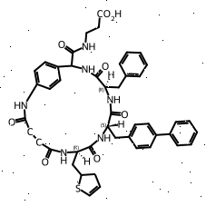 O=C(O)CCNC(=O)C1NC(=O)[C@@H](Cc2ccccc2)NC(=O)[C@H](Cc2ccc(-c3ccccc3)cc2)NC(=O)[C@@H](CC2CC=CS2)NC(=O)CCC(=O)Nc2ccc1cc2